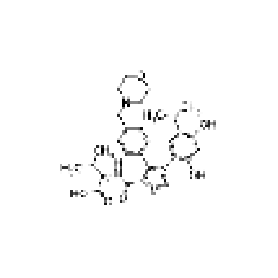 CC(C)c1cc(-n2nnc(C(=O)N[C@H](C(=O)O)C(C)C)c2-c2ccc(CN3CCOCC3)cc2)c(O)cc1O